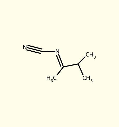 C/C(=N\C#N)C(C)C